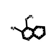 O=[N+]([O-])c1cnc2ccccc2c1OC(F)(F)F